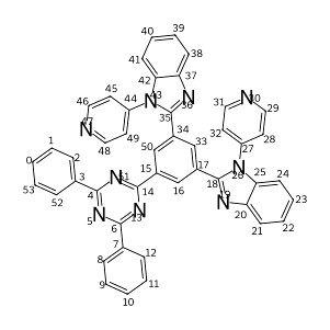 c1ccc(-c2nc(-c3ccccc3)nc(-c3cc(-c4nc5ccccc5n4-c4ccncc4)cc(-c4nc5ccccc5n4-c4ccncc4)c3)n2)cc1